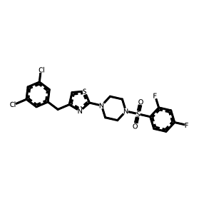 O=S(=O)(c1ccc(F)cc1F)N1CCN(c2nc(Cc3cc(Cl)cc(Cl)c3)cs2)CC1